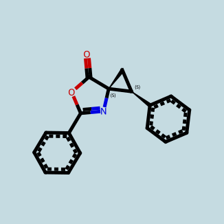 O=C1OC(c2ccccc2)=N[C@]12C[C@H]2c1ccccc1